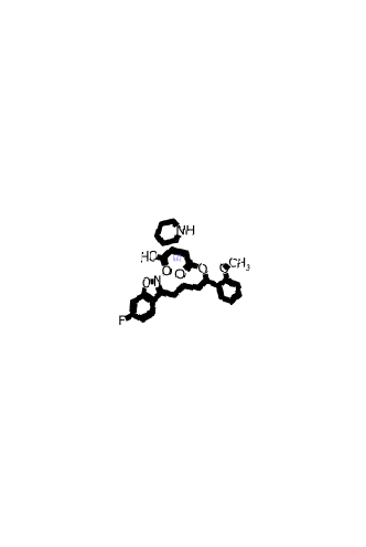 C1CCNCC1.COc1ccccc1C(CCCc1noc2cc(F)ccc12)OC(=O)/C=C\C(=O)O